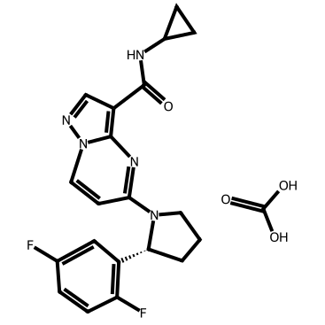 O=C(NC1CC1)c1cnn2ccc(N3CCC[C@@H]3c3cc(F)ccc3F)nc12.O=C(O)O